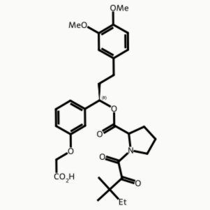 CCC(C)(C)C(=O)C(=O)N1CCCC1C(=O)O[C@H](CCc1ccc(OC)c(OC)c1)c1cccc(OCC(=O)O)c1